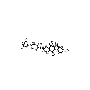 C[C@@H]1CN(C2CCN(c3ccc4c(c3)C(C)(C)c3[nH]c5cc(C#N)ccc5c3C4=O)CC2)C[C@H](C)O1